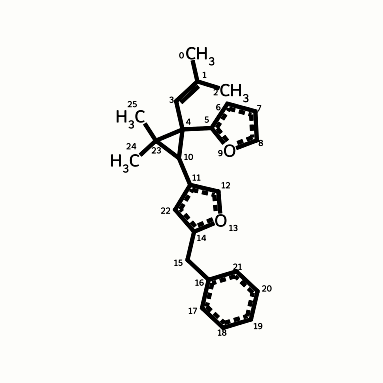 CC(C)=CC1(c2ccco2)C(c2coc(Cc3ccccc3)c2)C1(C)C